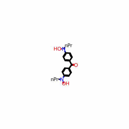 CCCN(O)c1ccc(C(=O)c2ccc(N(O)CCC)cc2)cc1